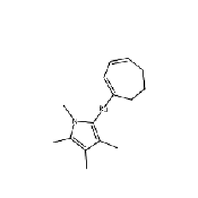 Cc1c(C)[c]([Ru][C]2=CC=CCCC2)n(C)c1C